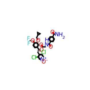 NC(=O)c1ccc(C(=O)NCC(=O)O[C@@H](Cc2c(Cl)c[n+]([O-])cc2Cl)c2ccc(OC(F)F)c(OCC3CC3)c2)cc1